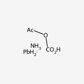 CC(=O)OC(=O)O.N.[PbH2]